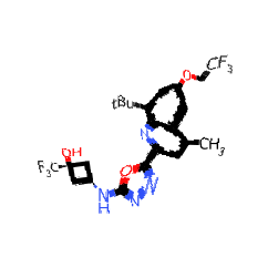 Cc1cc(-c2nnc(N[C@H]3C[C@](O)(C(F)(F)F)C3)o2)nc2c(C(C)(C)C)cc(OCC(F)(F)F)cc12